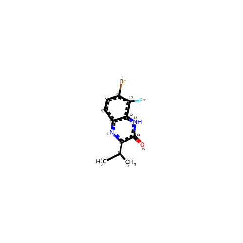 CC(C)c1nc2ccc(Br)c(F)c2[nH]c1=O